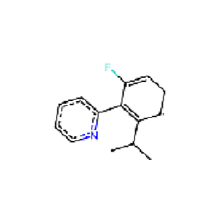 CC(C)C1=C(c2ccccn2)C(F)=CC[CH]1